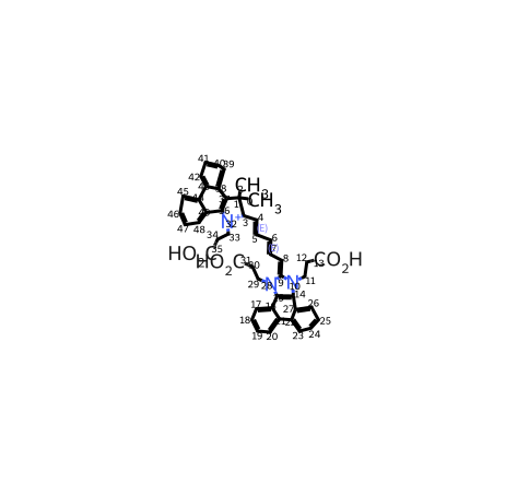 CC1(C)C(/C=C/C=C/C=C2N(CCC(=O)O)c3c(c4ccccc4c4ccccc34)N2CCC(=O)O)=[N+](CCC(=O)O)c2c1c1ccccc1c1ccccc21